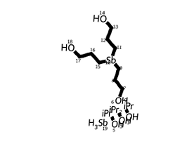 CC(C)O.CC(C)O.CC(C)O.OCC[CH2][Sb]([CH2]CCO)[CH2]CCO.[SbH3]